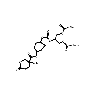 CCCCCCCCCC(=O)OCC(COC(=O)CCCCCCCCC)OC(=O)OC1CCC(OC(=O)C2(C)COC(=O)OC2)CC1